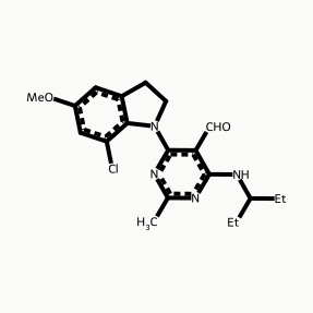 CCC(CC)Nc1nc(C)nc(N2CCc3cc(OC)cc(Cl)c32)c1C=O